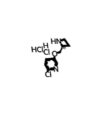 Cl.Cl.Clc1ccc(OC[C@@H]2CCN2)cn1